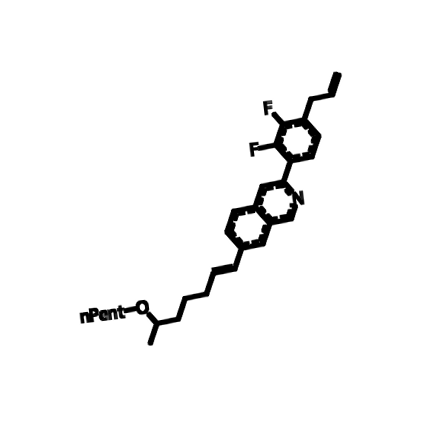 C=CCc1ccc(-c2cc3ccc(C=CCCCC(C)OCCCCC)cc3cn2)c(F)c1F